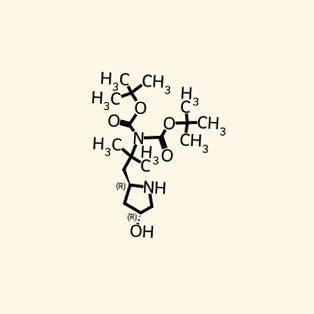 CC(C)(C)OC(=O)N(C(=O)OC(C)(C)C)C(C)(C)C[C@@H]1C[C@@H](O)CN1